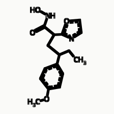 CCC(CC(C(=O)NO)c1ncco1)c1ccc(OC)cc1